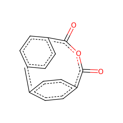 O=c1oc(=O)c2ccc(cc2)c2ccc1cc2